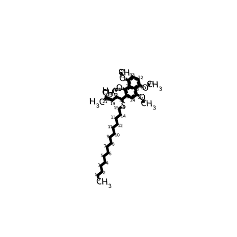 CCCCCCCCCCCCCCCCSC(CC=C(C)C)c1cc(OC)c2c(OC)ccc(OC)c2c1OC